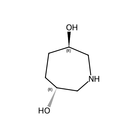 O[C@@H]1CC[C@@H](O)CNC1